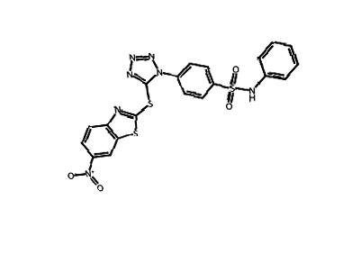 O=[N+]([O-])c1ccc2nc(Sc3nnnn3-c3ccc(S(=O)(=O)Nc4ccccc4)cc3)sc2c1